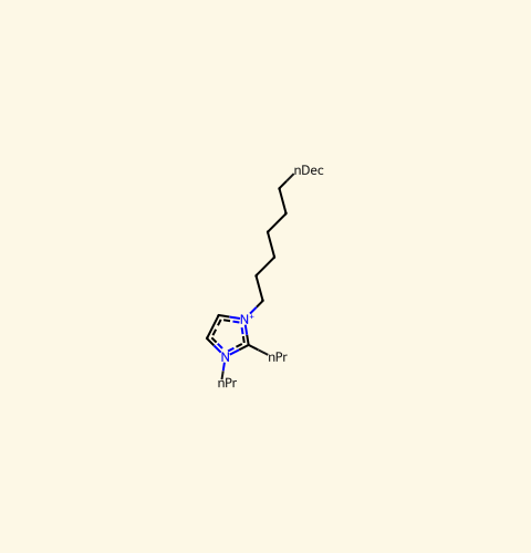 CCCCCCCCCCCCCCCC[n+]1ccn(CCC)c1CCC